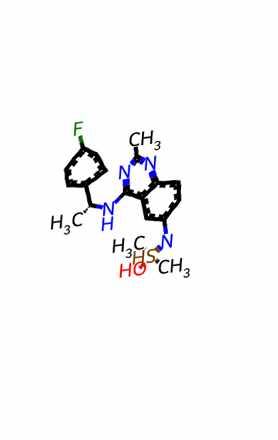 Cc1nc(N[C@H](C)c2ccc(F)cc2)c2cc(N=[SH](C)(C)O)ccc2n1